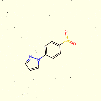 O=[SH](=O)c1ccc(-n2cccn2)cc1